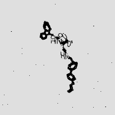 CCCCc1ccc(-c2ccc(CNCC[C@H](NC(=O)OCC3c4ccccc4-c4ccccc43)C(=O)OC)cc2)cc1